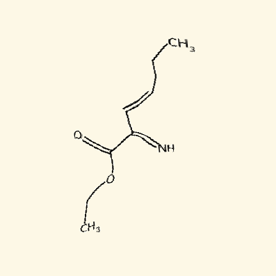 CC/C=C/C(=N)C(=O)OCC